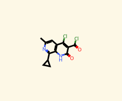 Cc1cc2c(Cl)c(C(=O)Cl)c(=O)[nH]c2c(C2CC2)n1